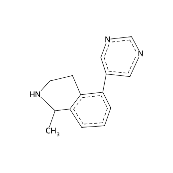 CC1NCCc2c(-c3cncnc3)cccc21